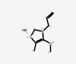 Br.C=CCN1CSC(C)=C1OC